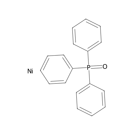 O=P(c1ccccc1)(c1ccccc1)c1ccccc1.[Ni]